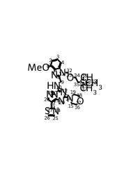 COc1cccc2c1nc(CNc1nc(N3CCOCC3)nc3c(-c4nccs4)cnn13)n2COCC[Si](C)(C)C